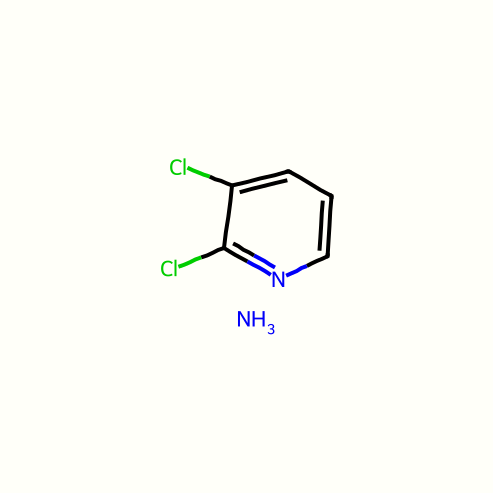 Clc1cccnc1Cl.N